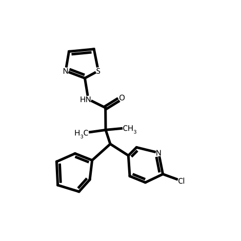 CC(C)(C(=O)Nc1nccs1)C(c1ccccc1)c1ccc(Cl)nc1